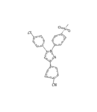 CS(=O)(=O)c1ccc(-n2nc(-c3ccc(C#N)cc3)cc2-c2ccc(Cl)cc2)cc1